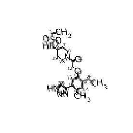 C=CS(=O)(=O)NC1CCN(C(=O)COc2cc(-c3nn[nH]n3)c(C)cc2CC)CC1